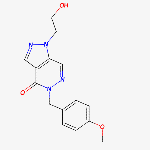 COc1ccc(Cn2ncc3c(cnn3CCO)c2=O)cc1